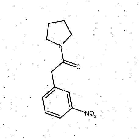 O=C(Cc1cccc([N+](=O)[O-])c1)N1CCCC1